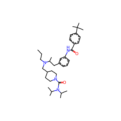 CCCN(CC1CCN(C(=O)N(C(C)C)C(C)C)CC1)C(C)Cc1cccc(NC(=O)c2ccc(C(C)(C)C)cc2)c1